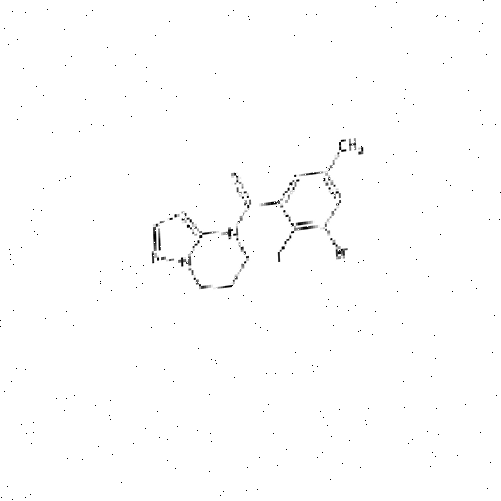 Cc1cc(Br)c(I)c(C(=O)N2CCCn3nccc32)c1